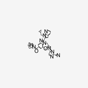 COc1cc(C(=O)N2CC3CC4CC2[C@H]43)cc2nc(-c3cc4cccnc4n3CC3CC3)n(CC3CN(c4ccnc(C#N)n4)C3)c12